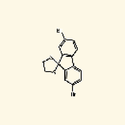 Brc1ccc2c(c1)C1(SCCS1)c1cc(Br)ccc1-2